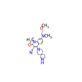 COCCN(C)c1ccc2c(N3CCC4(CCNC4)CC3)c(C#N)c(=O)n(C)c2c1